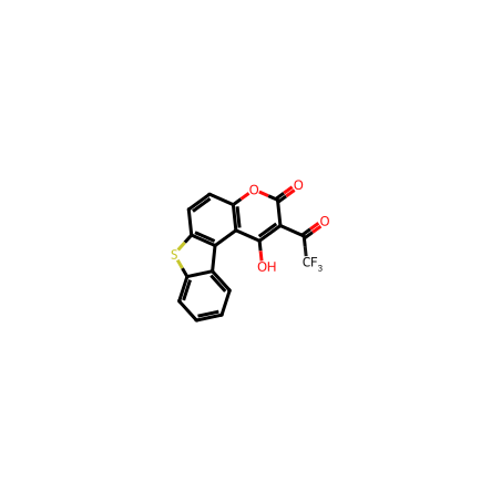 O=C(c1c(O)c2c(ccc3sc4ccccc4c32)oc1=O)C(F)(F)F